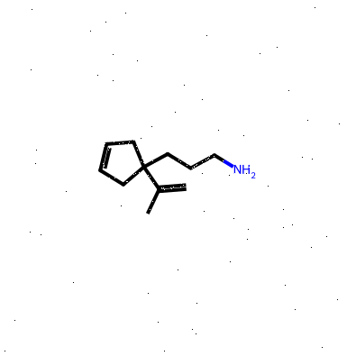 C=C(C)C1(CCCN)CC=CC1